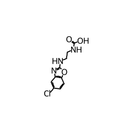 O=C(O)NCCNc1nc2cc(Cl)ccc2o1